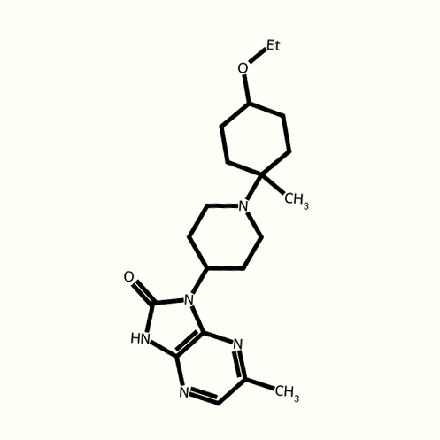 CCOC1CCC(C)(N2CCC(n3c(=O)[nH]c4ncc(C)nc43)CC2)CC1